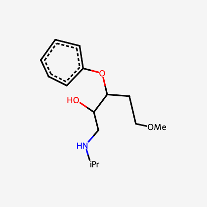 COCCC(Oc1ccccc1)C(O)CNC(C)C